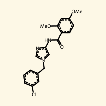 COc1ccc(C(=O)Nc2cn(Cc3cccc(Cl)c3)cn2)c(OC)c1